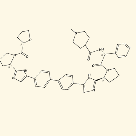 CN1CCC(C(=O)N[C@@H](C(=O)N2CCC[C@H]2c2ncc(-c3ccc(-c4ccc(-c5cnc([C@@H]6CCCN6C(=O)[C@@H]6CCCO6)[nH]5)cc4)cc3)[nH]2)c2ccccc2)CC1